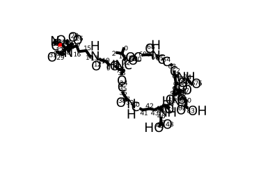 CC(C)C(=O)NC1(COCCC(=O)NCCCCC2C(=O)O[N@@]3CCC(=O)CN2CC(=O)C3)COCCC(=O)NCCCCC(NCC(=O)O)C(=O)O[C@]2(NOC2=O)C2C(=O)C(CCCCNC(=O)CCOC1)NCC(=O)O[C@@H]2CCC(=O)O